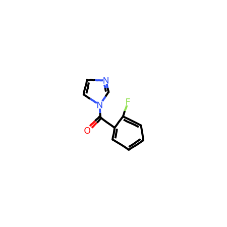 O=C(c1ccccc1F)n1ccnc1